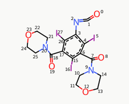 O=C=Nc1c(I)c(C(=O)N2CCOCC2)c(I)c(C(=O)N2CCOCC2)c1I